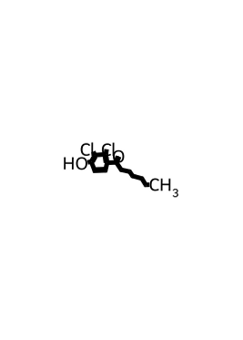 CCCCCCC(=O)c1ccc(O)c(Cl)c1Cl